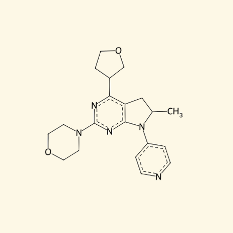 CC1Cc2c(C3CCOC3)nc(N3CCOCC3)nc2N1c1ccncc1